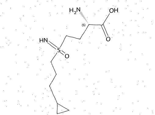 N=S(=O)(CCCC1CC1)CC[C@H](N)C(=O)O